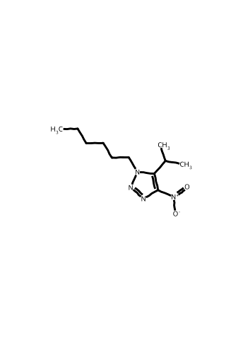 CCCCCCn1nnc([N+](=O)[O-])c1C(C)C